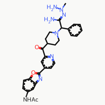 CC(=O)Nc1ccc2oc(-c3ccnc(C(=O)C4CCN(C(/C(N)=N/N(C)N)c5ccccc5)CC4)c3)nc2c1